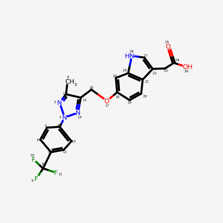 Cc1nn(-c2ccc(C(F)(F)F)cc2)nc1COc1ccc2c(CC(=O)O)c[nH]c2c1